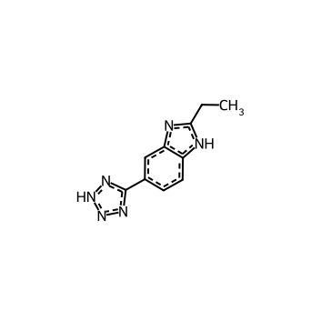 CCc1nc2cc(-c3nn[nH]n3)ccc2[nH]1